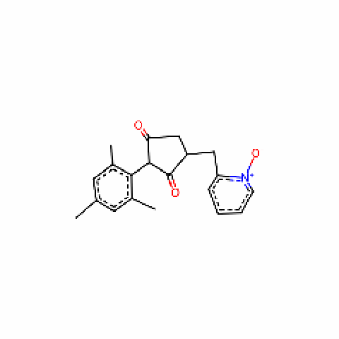 Cc1cc(C)c(C2C(=O)CC(Cc3cccc[n+]3[O-])C2=O)c(C)c1